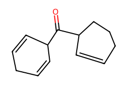 O=C(C1C=CCC=C1)C1C=CCCC1